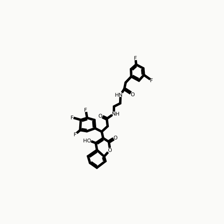 O=C(Cc1cc(F)cc(F)c1)NCCNC(=O)CC(c1cc(F)c(F)c(F)c1)c1c(O)c2ccccc2oc1=O